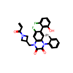 C=CC(=O)N1CC(Cn2c(=O)c(=O)n(-c3ccccc3C(C)C)c3cc(-c4c(O)cccc4F)c(F)cc32)C1